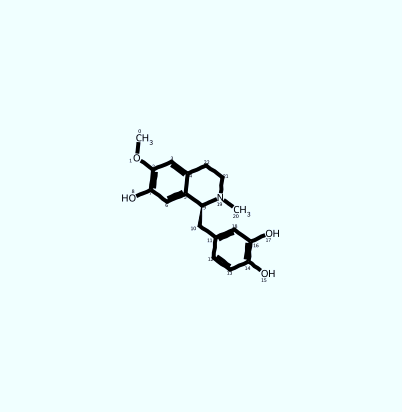 COc1cc2c(cc1O)[C@H](Cc1ccc(O)c(O)c1)N(C)CC2